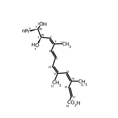 CCC[C@@H](O)[C@H](O)C=C(C)C=CC=C(C)C=C(C)C=CC(=O)O